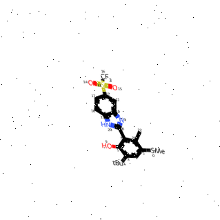 CSc1cc(C(C)(C)C)c(O)c(-c2nc3cc(S(=O)(=O)C(F)(F)F)ccc3[nH]2)c1C